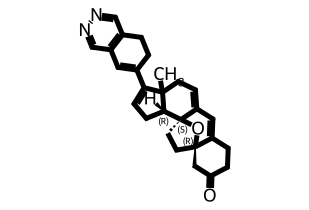 CC12CC=C3C=C4CCC(=O)C[C@]45CC[C@]3(O5)[C@@H]1CC=C2C1=Cc2cnncc2CC1